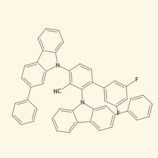 N#Cc1c(-n2c3ccccc3c3ccc(-c4ccccc4)cc32)ccc(-c2cc(F)cc(F)c2)c1-n1c2ccccc2c2ccc(-c3ccccc3)cc21